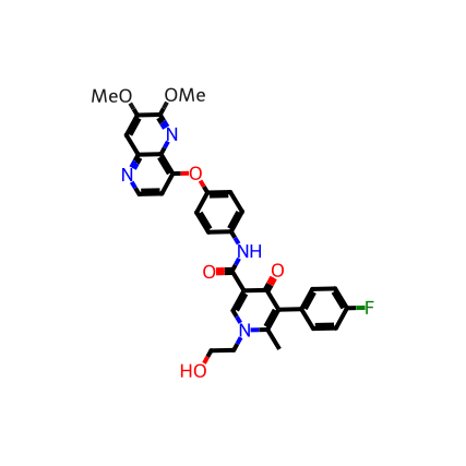 COc1cc2nccc(Oc3ccc(NC(=O)c4cn(CCO)c(C)c(-c5ccc(F)cc5)c4=O)cc3)c2nc1OC